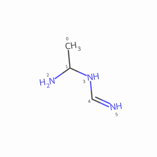 CC(N)NC=N